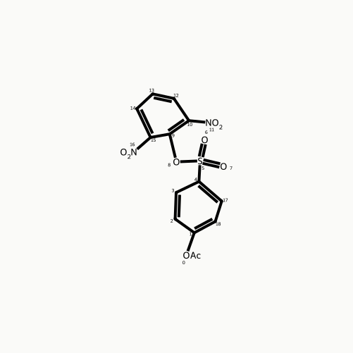 CC(=O)Oc1ccc(S(=O)(=O)Oc2c([N+](=O)[O-])cccc2[N+](=O)[O-])cc1